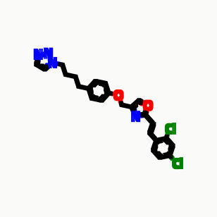 Clc1ccc(C=Cc2nc(COc3ccc(CCCCn4ccnn4)cc3)co2)c(Cl)c1